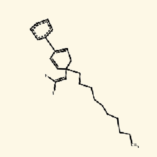 CCCCCCCCCCC1(C=C(F)F)C=CC(c2ccccc2)=CC1